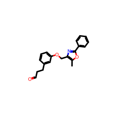 Cc1oc(-c2ccccc2)nc1COc1cccc(CCC=O)c1